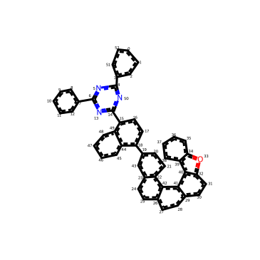 c1ccc(-c2nc(-c3ccccc3)nc(-c3ccc(-c4ccc5c(ccc6ccc7ccc8oc9ccccc9c8c7c65)c4)c4ccccc34)n2)cc1